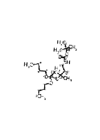 CCCCOP(=O)(OCCCC)OC(C)(C)[C@H](F)CNC(=O)OC(C)(C)C